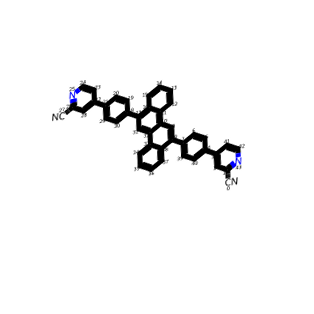 N#Cc1cc(-c2ccc(-c3cc4c5ccccc5c(-c5ccc(-c6ccnc(C#N)c6)cc5)cc4c4ccccc34)cc2)ccn1